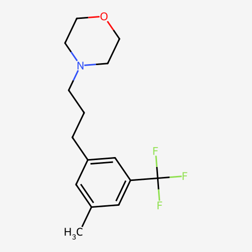 Cc1cc(CCCN2CCOCC2)cc(C(F)(F)F)c1